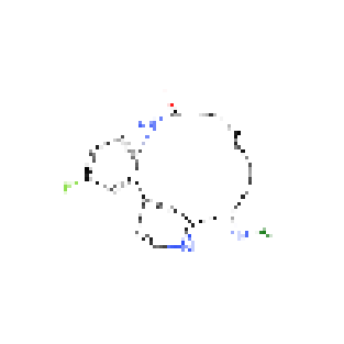 O=C1CCCC[C@H](NCl)c2cc(ccn2)-c2cc(F)ccc2N1